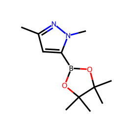 Cc1cc(B2OC(C)(C)C(C)(C)O2)n(C)n1